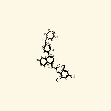 O=C(Nc1c(Cl)cc(Cl)cc1Cl)Nc1ccc(-c2ccc(CN3CCOCC3)nc2)c2ccccc12